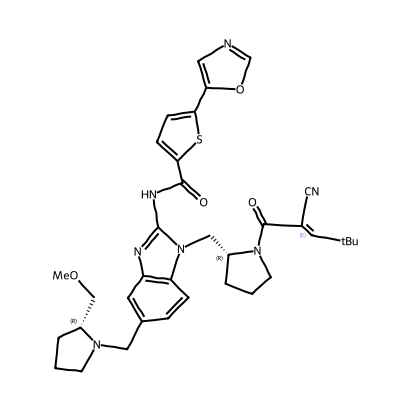 COC[C@H]1CCCN1Cc1ccc2c(c1)nc(NC(=O)c1ccc(-c3cnco3)s1)n2C[C@H]1CCCN1C(=O)/C(C#N)=C/C(C)(C)C